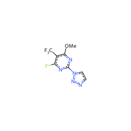 COc1nc(-n2ccnn2)nc(F)c1C(F)(F)F